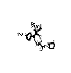 CCn1cc(-c2sc(C(=O)N3CCC[C@@H](C)C3)nc2-c2ccc(C#N)cc2)cn1